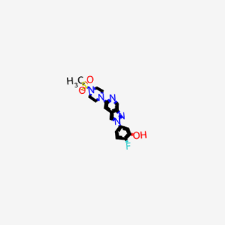 CS(=O)(=O)N1CCN(c2cc3cn(-c4ccc(F)c(O)c4)nc3cn2)CC1